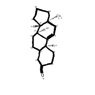 C[C@]12CC=C3[C@H]4CCC(=O)CC4CC[C@H]3[C@@H]1CCC2